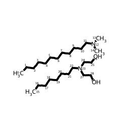 CCCCCCCCCCCCN(C)C.CCCCCCCCN(CCO)CCO